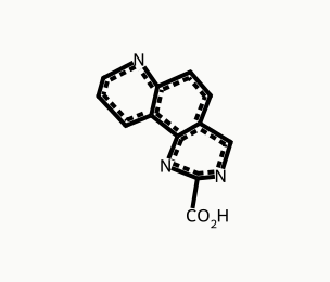 O=C(O)c1ncc2ccc3ncccc3c2n1